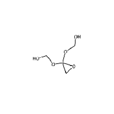 OCOC1(OCO)CO1